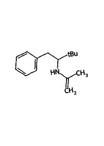 C=C(C)NC(Cc1ccccc1)C(C)(C)C